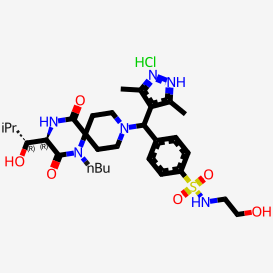 CCCCN1C(=O)[C@@H]([C@H](O)C(C)C)NC(=O)C12CCN(C(c1ccc(S(=O)(=O)NCCO)cc1)c1c(C)n[nH]c1C)CC2.Cl